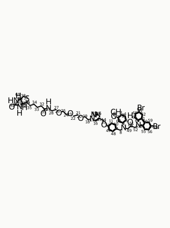 COc1cccc(N(Cc2ccc(OCc3cn(CCOCCOCCOCCNC(=O)CCCC[C@@H]4SC[C@@H]5NC(=O)N[C@@H]54)nn3)cc2)CC(O)Cn2c3ccc(Br)cc3c3cc(Br)ccc32)c1